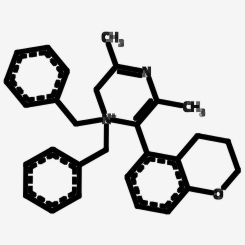 CC1=NC(C)=C(c2cccc3c2CCCO3)[N+](Cc2ccccc2)(Cc2ccccc2)C1